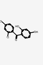 O=C(c1ccc(O)cc1O)c1ccc(Cl)cc1Cl